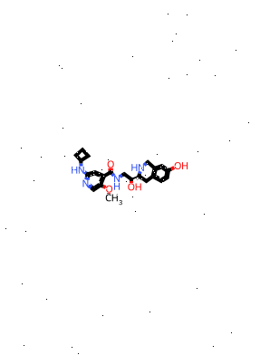 COc1cnc(NC2CCC2)cc1C(=O)NCC(O)[C@@H]1Cc2ccc(O)cc2CN1